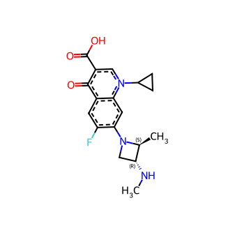 CN[C@@H]1CN(c2cc3c(cc2F)c(=O)c(C(=O)O)cn3C2CC2)[C@H]1C